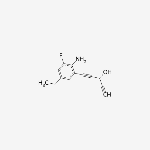 C#C[C@@H](O)C#Cc1cc(CC)cc(F)c1N